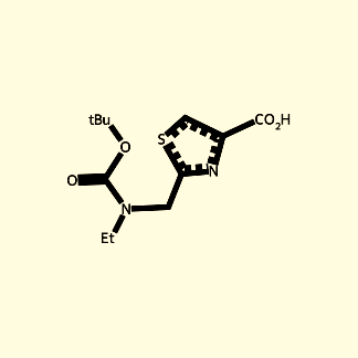 CCN(Cc1nc(C(=O)O)cs1)C(=O)OC(C)(C)C